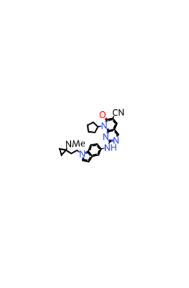 CNC1(CCn2ccc3cc(Nc4ncc5cc(C#N)c(=O)n(C6CCCC6)c5n4)ccc32)CC1